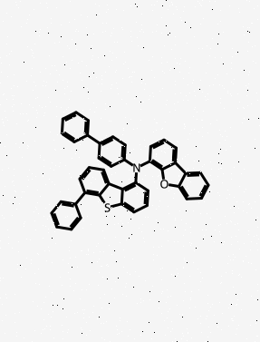 c1ccc(-c2ccc(N(c3cccc4c3oc3ccccc34)c3cccc4sc5c(-c6ccccc6)cccc5c34)cc2)cc1